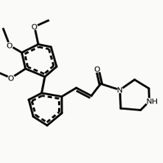 COc1ccc(-c2ccccc2C=CC(=O)N2CCNCC2)c(OC)c1OC